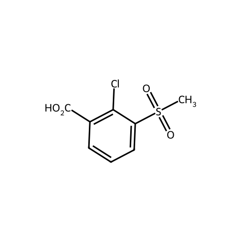 CS(=O)(=O)c1cccc(C(=O)O)c1Cl